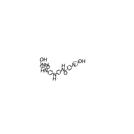 O=C(Nc1ccc(Nc2ccc(NC(=O)c3ccc(CO)[nH]3)cc2)cc1)c1ccc(N2CCC(O)CC2)cc1